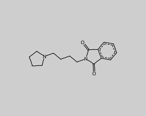 O=C1c2ccccc2C(=O)N1CCCCN1C[CH]CC1